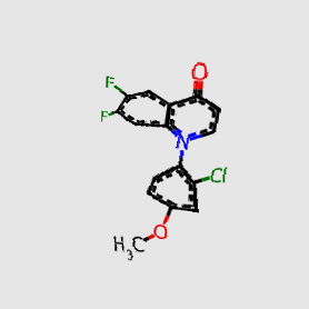 COc1ccc(-n2ccc(=O)c3cc(F)c(F)cc32)c(Cl)c1